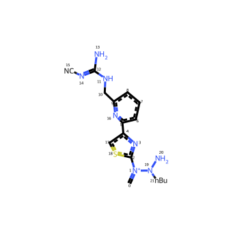 C=[N+](c1nc(-c2cccc(CNC(N)=NC#N)n2)cs1)N(N)CCCC